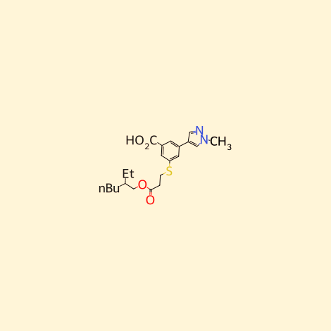 CCCCC(CC)COC(=O)CCSc1cc(C(=O)O)cc(-c2cnn(C)c2)c1